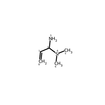 C=CC(N)[Si](C)C